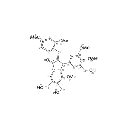 COc1ccc(/C=C2\C(=O)c3cc(CO)c(CO)c(OC)c3C2c2cc(CO)c(OC)c(OC)c2)c(OC)c1